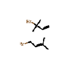 C=CC(C)(C)Br.CC(C)=CCBr